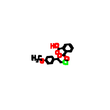 COc1ccc(C(CCl)OC(=O)c2ccccc2C(=O)O)cc1